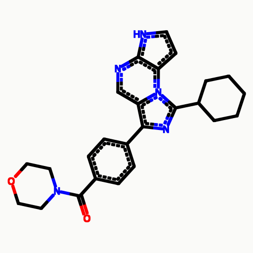 O=C(c1ccc(-c2nc(C3CCCCC3)n3c2cnc2[nH]ccc23)cc1)N1CCOCC1